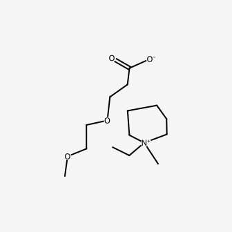 CC[N+]1(C)CCCCC1.COCCOCCC(=O)[O-]